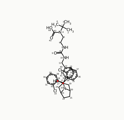 CC(C)(C)N(CCNC(=O)NCc1cccc(C2(O)CC3CCC(C2)N3C(c2ccccc2Cl)c2ccccc2Cl)n1)C(=O)O